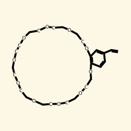 C=Cc1ccc2c(c1)OCCOCCOCCOCCOCCOCCOCCOCCOCCO2